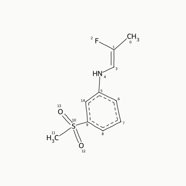 CC(F)=CNc1cccc(S(C)(=O)=O)c1